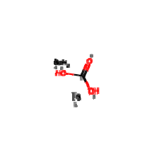 O=C(O)O.[BaH2].[Fe]